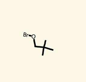 CC(C)(C)COBr